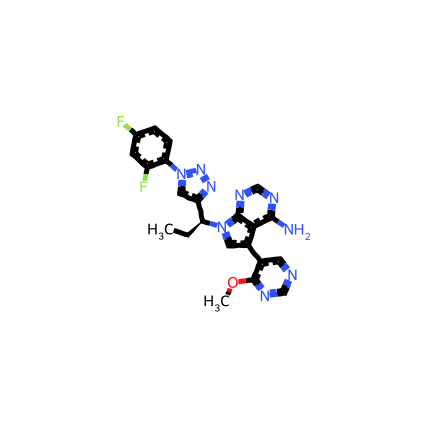 CC[C@@H](c1cn(-c2ccc(F)cc2F)nn1)n1cc(-c2cncnc2OC)c2c(N)ncnc21